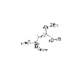 CCC[SiH](C=C(OCC)OCC)CCC